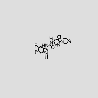 O=C(Nc1cnc(N2CCC3(CC2)CC3)c(Cl)c1)Nc1c[nH]c2cc(F)c(F)cc12